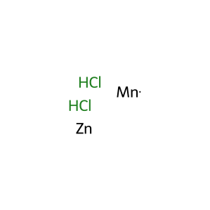 Cl.Cl.[Mn].[Zn]